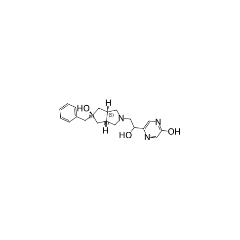 Oc1cnc(C(O)CN2C[C@@H]3C[C@](O)(Cc4ccccc4)C[C@@H]3C2)cn1